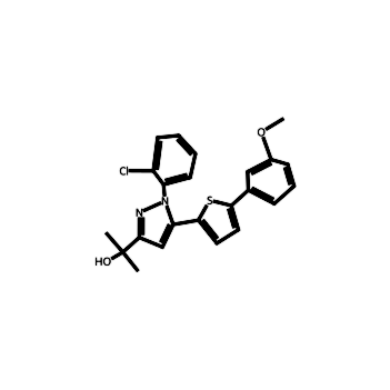 COc1cccc(-c2ccc(-c3cc(C(C)(C)O)nn3-c3ccccc3Cl)s2)c1